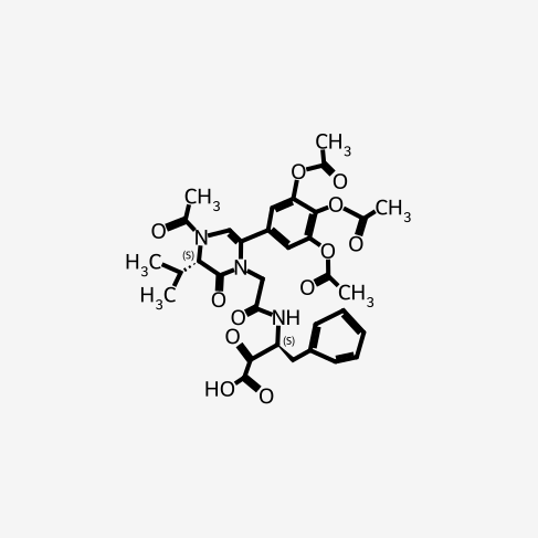 CC(=O)Oc1cc(C2=CN(C(C)=O)[C@@H](C(C)C)C(=O)N2CC(=O)N[C@@H](Cc2ccccc2)C(=O)C(=O)O)cc(OC(C)=O)c1OC(C)=O